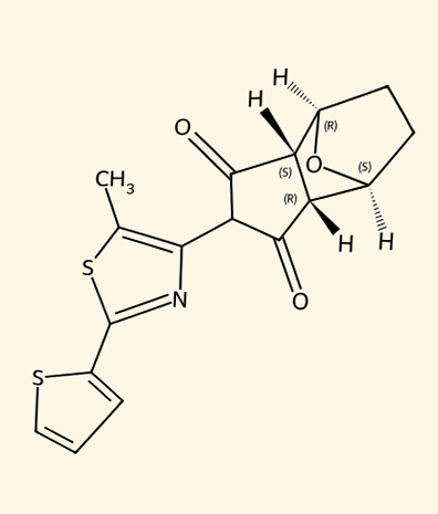 Cc1sc(-c2cccs2)nc1C1C(=O)[C@@H]2[C@H](C1=O)[C@H]1CC[C@@H]2O1